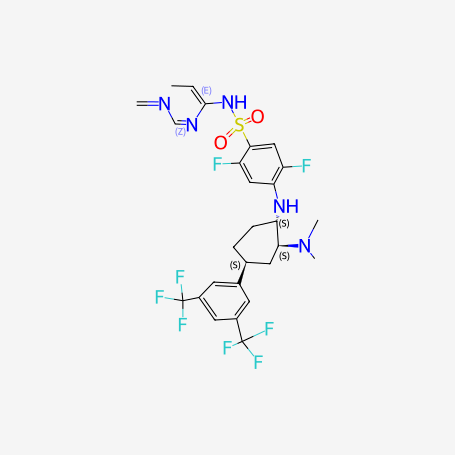 C=N/C=N\C(=C/C)NS(=O)(=O)c1cc(F)c(N[C@H]2CC[C@H](c3cc(C(F)(F)F)cc(C(F)(F)F)c3)C[C@@H]2N(C)C)cc1F